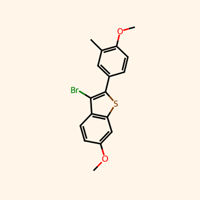 COc1ccc2c(Br)c(-c3ccc(OC)c(C)c3)sc2c1